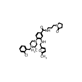 Cc1ccc(CNc2cc(C(=O)NCCCN3CCCC3=O)ccc2N2CCN(Cc3ccccc3Cl)[C@@H](C)C2)o1